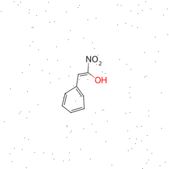 O=[N+]([O-])C(O)=Cc1ccccc1